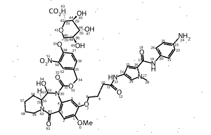 COc1cc2c(cc1OCCCC(=O)Nc1cc(C(=O)Nc3ccc(N)cc3)n(C)c1)N(C(=O)OCc1ccc(O[C@@H]3O[C@H](C(=O)O)[C@@H](O)[C@H](O)[C@H]3O)c([N+](=O)[O-])c1)C(O)[C@@H]1CCCCN1C2=O